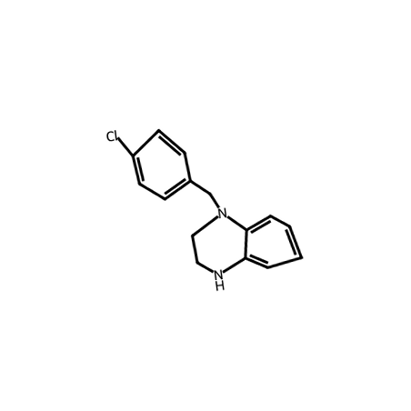 Clc1ccc(CN2CCNc3ccccc32)cc1